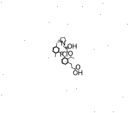 Cc1ccc(C[C@@H]2CCCN2C[C@@H](O)COC(C)c2c(Cl)cccc2CCC(=O)O)cc1F